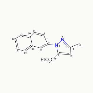 CCOC(=O)c1cc(C)nn1-c1ccc2ccccc2c1